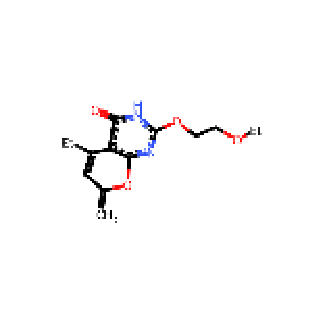 C=C1C=C(CC)c2c(nc(OCCOCC)[nH]c2=O)O1